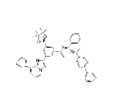 C=C(/N=C(\N=C(/C)c1ccc(-c2ccccc2)cc1)C1=CCCC=C1)c1cc(B2OC(C)(C)C(C)(C)O2)cc(-c2nc3c(-c4ccccc4)cccn3n2)c1